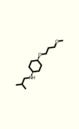 COCCCO[C@H]1CC[C@@H](NCC(C)C)CC1